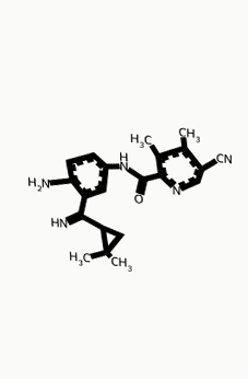 Cc1c(C#N)cnc(C(=O)Nc2ccc(N)c(C(=N)C3CC3(C)C)c2)c1C